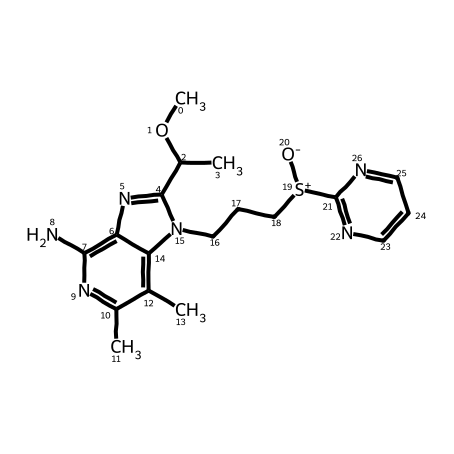 COC(C)c1nc2c(N)nc(C)c(C)c2n1CCC[S+]([O-])c1ncccn1